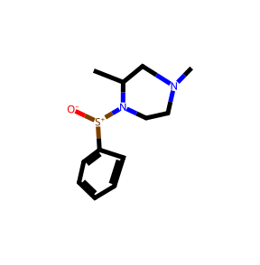 CC1CN(C)CCN1[S+]([O-])c1ccccc1